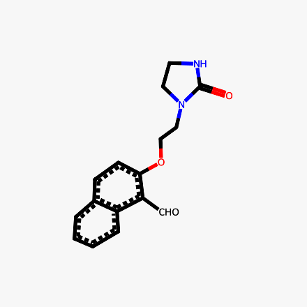 O=Cc1c(OCCN2CCNC2=O)ccc2ccccc12